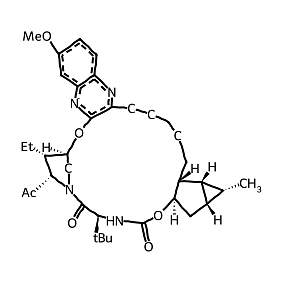 CC[C@@H]1[C@@H]2CN(C(=O)[C@H](C(C)(C)C)NC(=O)O[C@@H]3C[C@H]4[C@@H](C)[C@H]4[C@H]3CCCCCc3nc4ccc(OC)cc4nc3O2)[C@@H]1C(C)=O